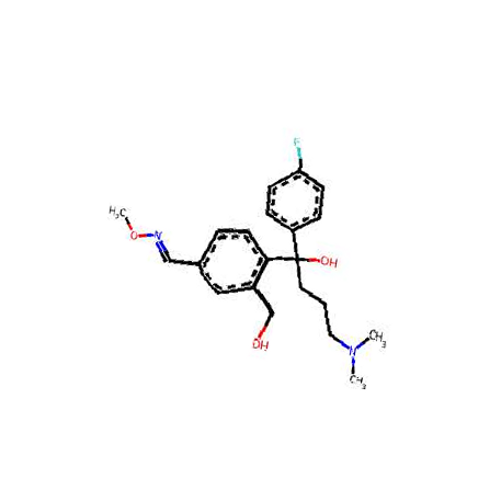 CON=Cc1ccc(C(O)(CCCN(C)C)c2ccc(F)cc2)c(CO)c1